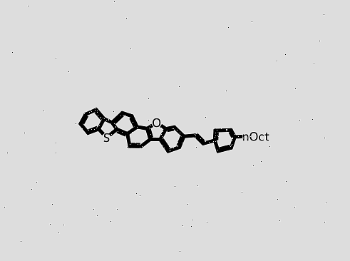 CCCCCCCCc1ccc(/C=C/c2ccc3c(c2)oc2c3ccc3c2ccc2c4ccccc4sc23)cc1